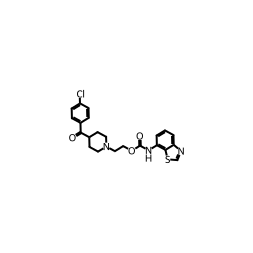 O=C(Nc1cccc2ncsc12)OCCN1CCC(C(=O)c2ccc(Cl)cc2)CC1